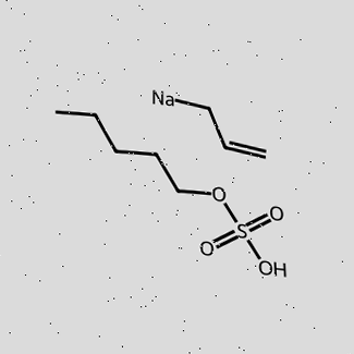 C=C[CH2][Na].CCCCCOS(=O)(=O)O